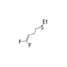 [CH2]CSCCC=C(F)F